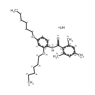 CCCCCCOc1ccc(PC(=O)c2c(C)cc(C)cc2C)c(OCCCCCC)c1.[LiH]